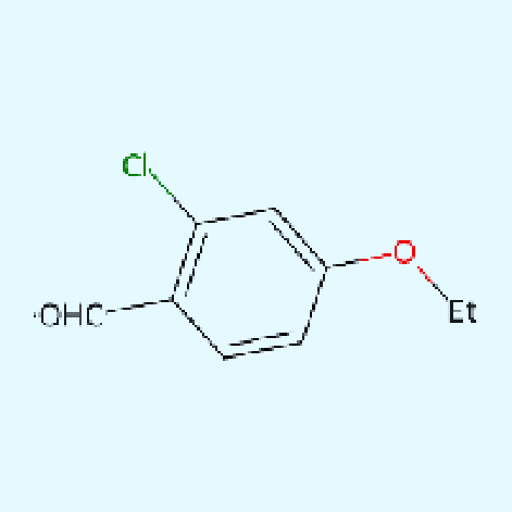 CCOc1ccc([C]=O)c(Cl)c1